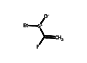 C=C(F)[S+]([O-])CC